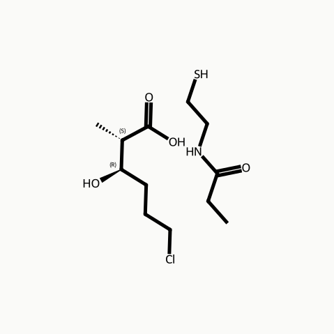 CCC(=O)NCCS.C[C@H](C(=O)O)[C@H](O)CCCCl